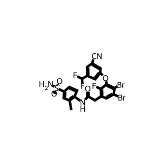 Cc1cc(S(N)(=O)=O)ccc1NC(=O)Cc1cc(Br)c(Br)c(Oc2cc(C#N)cc(C(F)F)c2)c1F